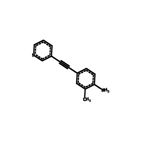 Cc1cc(C#Cc2cccnc2)ccc1N